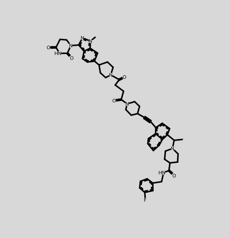 CC(c1ccc(C#CC2CCN(C(=O)CCC(=O)N3CCC(c4ccc5c(N6CCC(=O)NC6=O)nn(C)c5c4)CC3)CC2)c2ccccc12)N1CCC(C(=O)NCc2cccc(F)c2)CC1